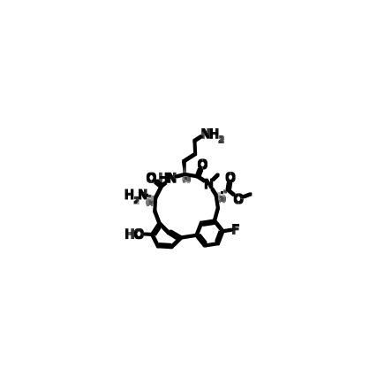 COC(=O)[C@@H]1Cc2cc(ccc2F)-c2ccc(O)c(c2)C[C@H](N)C(=O)N[C@@H](CCCN)C(=O)N1C